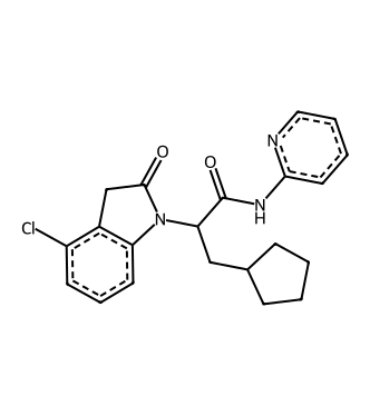 O=C(Nc1ccccn1)C(CC1CCCC1)N1C(=O)Cc2c(Cl)cccc21